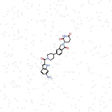 Nc1ccc2cc(C(=O)N3CCC(c4ccc5c(c4)CN(C4CCC(=O)NC4=O)C5=O)CC3)[nH]c2c1